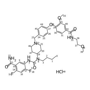 CCCCN(C(=O)Nc1cc(C(N)=O)c(F)cc1F)C1CCN(Cc2ccc(Oc3ccc(C(=O)NCCOC)cc3OC)cc2)CC1.Cl